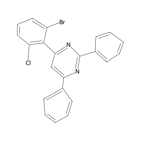 Clc1cccc(Br)c1-c1cc(-c2ccccc2)nc(-c2ccccc2)n1